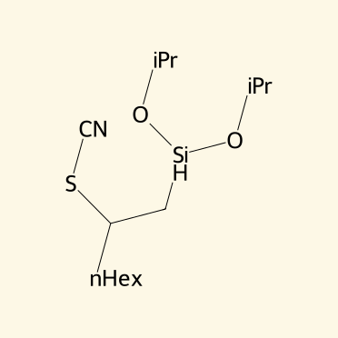 CCCCCCC(C[SiH](OC(C)C)OC(C)C)SC#N